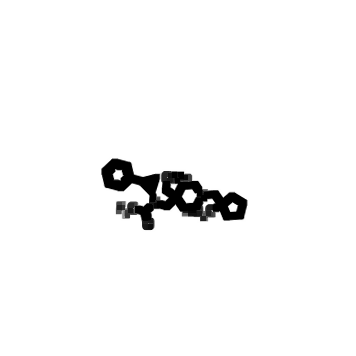 COCC1(CN(C(=O)C(F)(F)F)[C@@H]2CC2c2ccccc2)CCN(CC2(C(=O)O)CCCC2)CC1